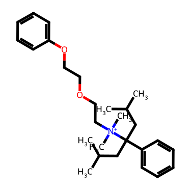 CC(C)CC(CC(C)C)(c1ccccc1)[N+](C)(C)CCOCCOc1ccccc1